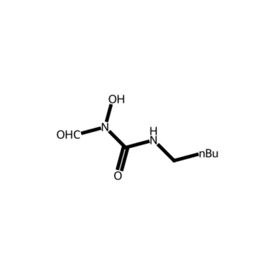 CCCCCNC(=O)N(O)C=O